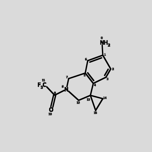 Nc1ccc2c(c1)CN(C(=O)C(F)(F)F)CC21CC1